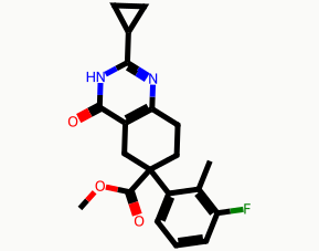 COC(=O)C1(c2cccc(F)c2C)CCc2nc(C3CC3)[nH]c(=O)c2C1